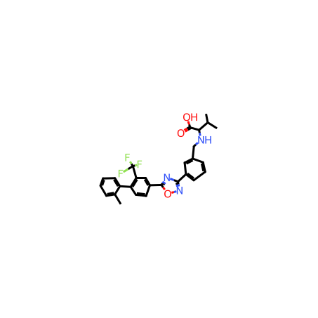 Cc1ccccc1-c1ccc(-c2nc(-c3cccc(CNC(C(=O)O)C(C)C)c3)no2)cc1C(F)(F)F